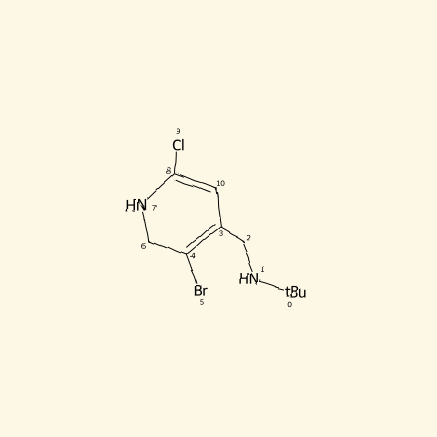 CC(C)(C)NCC1=C(Br)CNC(Cl)=C1